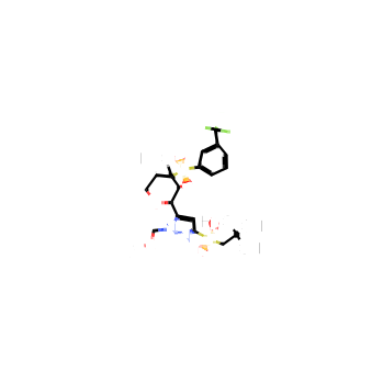 COCn1nc(S(=O)(=O)CC(C)(C)C)cc1C1CC(C)(S(=O)(=O)c2cccc(C(F)(F)F)c2)CCO1